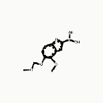 COCOc1ccc2oc(B(O)O)cc2c1OC